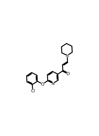 O=C(C=CN1CCCCC1)c1ccc(Oc2ccccc2Cl)nc1